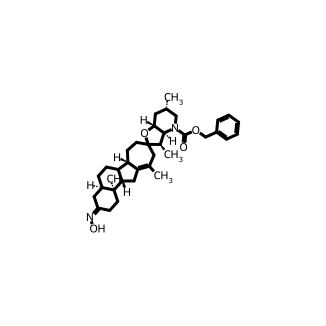 CC1=C2C[C@H]3C(CC[C@@H]4C/C(=N/O)CC[C@@]43C)[C@@H]2CCC2(C1)O[C@@H]1C[C@H](C)CN(C(=O)OCc3ccccc3)[C@H]1[C@H]2C